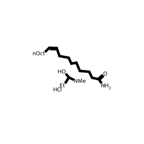 CCC(O)NC.CCCCCCCC/C=C\CCCCCCCC(N)=O.Cl